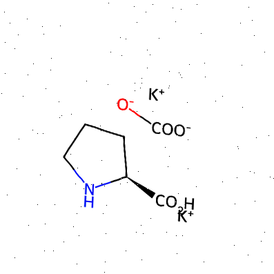 O=C(O)[C@@H]1CCCN1.O=C([O-])[O-].[K+].[K+]